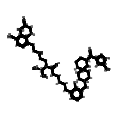 CCCC[C@@H](C)N(CCNCCc1ccc(O)c2c1OCC(=O)N2)C(=O)CCOCCc1cccc(CN2CCC3(CC2)CN(C(=O)c2csc(C(C)C)n2)CCO3)c1F